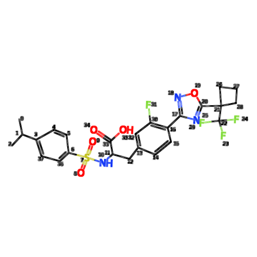 CC(C)c1ccc(S(=O)(=O)NC(Cc2ccc(-c3noc(C4(C(F)(F)F)CCC4)n3)c(F)c2)C(=O)O)cc1